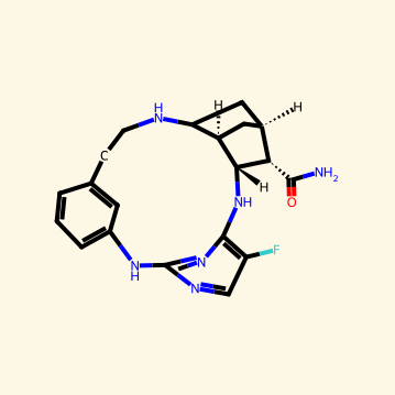 NC(=O)[C@H]1[C@@H]2CC3NCCc4cccc(c4)Nc4ncc(F)c(n4)N[C@@H]1[C@@H]3C2